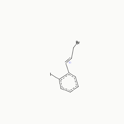 BrC/C=C/c1ccccc1I